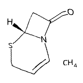 C.O=C1C[C@H]2SCC=CN12